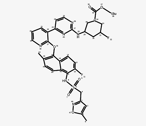 Cc1cc(CS(=O)(=O)Nc2c(F)ccc3c(Oc4ncccc4-c4ccnc(NC5CC(F)CN(C(=O)OC(C)(C)C)C5)n4)c(C)ccc23)no1